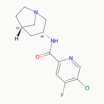 O=C(N[C@@H]1C[C@@H]2CCN(C2)C1)c1cc(F)c(Cl)cn1